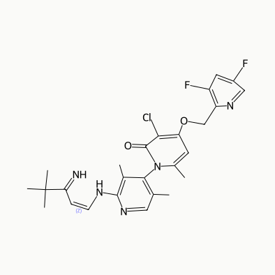 Cc1cnc(N/C=C\C(=N)C(C)(C)C)c(C)c1-n1c(C)cc(OCc2ncc(F)cc2F)c(Cl)c1=O